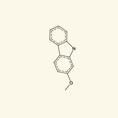 COc1ccc2c(c1)[N]c1ccccc1-2